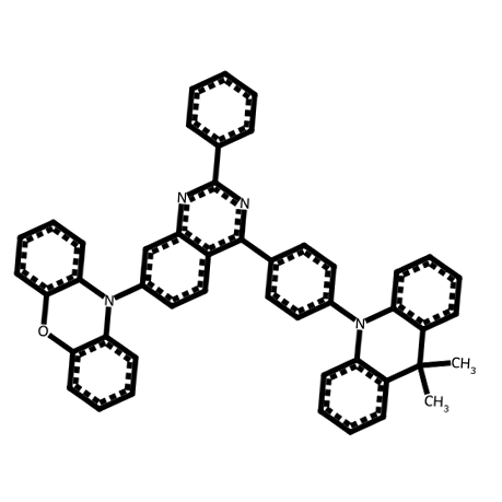 CC1(C)c2ccccc2N(c2ccc(-c3nc(-c4ccccc4)nc4cc(N5c6ccccc6Oc6ccccc65)ccc34)cc2)c2ccccc21